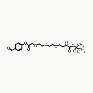 CC(C)(C)OC(=O)NCCOCCOCCOCC(=O)Oc1ccc(C=O)cc1